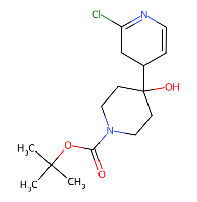 CC(C)(C)OC(=O)N1CCC(O)(C2C=CN=C(Cl)C2)CC1